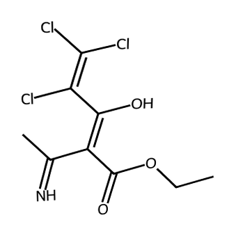 CCOC(=O)C(C(C)=N)=C(O)C(Cl)=C(Cl)Cl